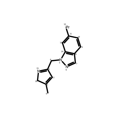 CC1=CC(Cn2ncc3ccc(C(C)C)cc32)=NC1